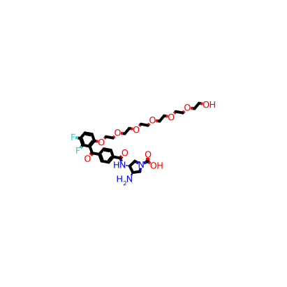 N[C@@H]1CN(C(=O)O)C[C@H]1NC(=O)c1ccc(C(=O)c2c(OCCOCCOCCOCCOCCOCCO)ccc(F)c2F)cc1